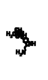 CN(C)S(=O)(=O)NCc1ccc2[nH]cc(CCN)c2c1